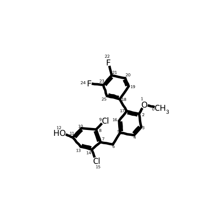 COc1ccc(Cc2c(Cl)cc(O)cc2Cl)cc1-c1ccc(F)c(F)c1